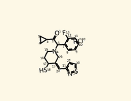 Cl.O=C(C1CC1)C(c1ccccc1F)N1CCC(S)/C(=C/c2ccsn2)C1